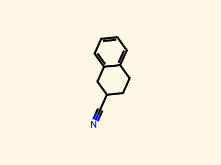 N#CC1CCc2ccccc2C1